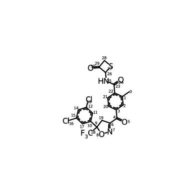 Cc1cc(C(=O)C2=NOC(c3cc(Cl)cc(Cl)c3)(C(F)(F)F)C2)ccc1C(=O)NC1SCC1=O